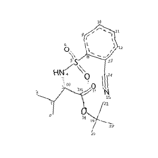 CC(C)[C@H](NS(=O)(=O)c1ccccc1C#N)C(=O)OC(C)(C)C